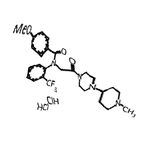 COc1ccc(C(=O)N(CC(=O)N2CCN(C3CCN(C)CC3)CC2)c2ccccc2C(F)(F)F)cc1.Cl.Cl